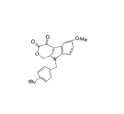 COc1ccc2c(c1)c1c(n2Cc2ccc(C(C)(C)C)cc2)COC(=O)C1=O